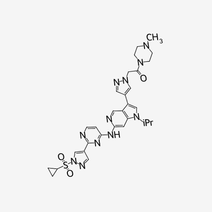 CC(C)n1cc(-c2cnn(CC(=O)N3CCN(C)CC3)c2)c2cnc(Nc3ccnc(-c4cnn(S(=O)(=O)C5CC5)c4)n3)cc21